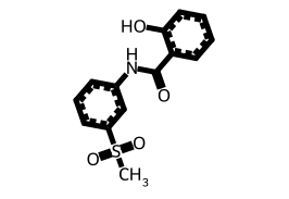 CS(=O)(=O)c1cccc(NC(=O)c2ccccc2O)c1